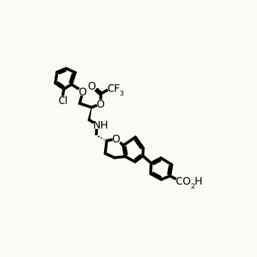 O=C(O)c1ccc(-c2ccc3c(c2)CC[C@H](CNC[C@@H](COc2ccccc2Cl)OC(=O)C(F)(F)F)O3)cc1